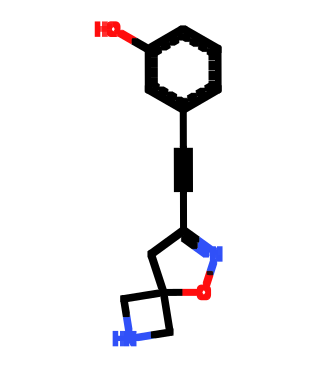 Oc1cccc(C#CC2=NOC3(CNC3)C2)c1